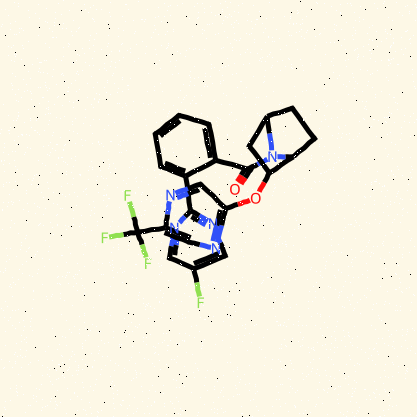 O=C(c1ccccc1-c1ncc(F)cn1)N1C2CCC1C(Oc1cnc(C(F)(F)F)cn1)C2